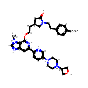 COc1ccc(CCN2CC(CCOc3nc(-c4ccc(N5CCN(C6COC6)CC5)cn4)cc4ncn(C)c34)CC2=O)cc1